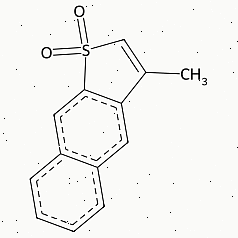 CC1=CS(=O)(=O)c2cc3ccccc3cc21